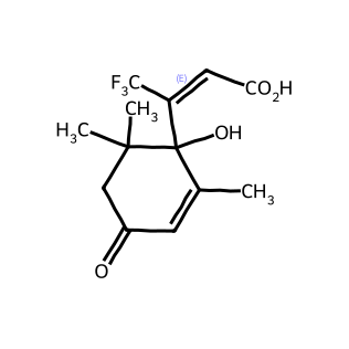 CC1=CC(=O)CC(C)(C)C1(O)/C(=C\C(=O)O)C(F)(F)F